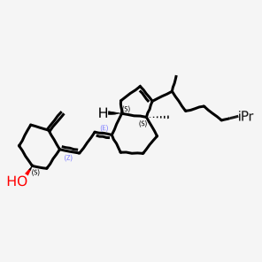 C=C1CC[C@H](O)C/C1=C/C=C1\CCC[C@]2(C)C(C(C)CCCC(C)C)=CC[C@@H]12